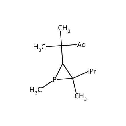 CC(=O)C(C)(C)C1P(C)C1(C)C(C)C